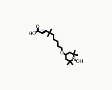 CC(C)(/C=C/C(=O)O)CCCCCOC1CC(C)(C)N(O)C(C)(C)C1